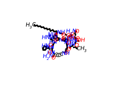 CCCCCCCCCCCCCCCC(=O)NCCOCCOCC(=O)N[C@@H](CCC(N)=O)C(=O)N[C@@H](CO)C(=O)N[C@@H](CCCC)C(=O)N[C@H]1CCC(=O)NCCCC[C@@H](C(N)=O)NC(=O)[C@H](Cc2c[nH]c3ccccc23)NC(=O)[C@H](CCCNC(=N)N)NC(=O)C(Cc2ccccc2)NC(=O)[C@@H]2C[C@@H](O)CN2C1=O